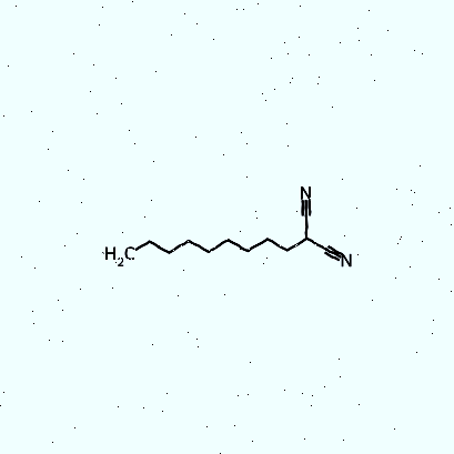 [CH2]CCCCCCCCC(C#N)C#N